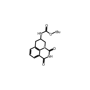 CC(C)(C)OC(=O)NC1Cc2cccc3c(=O)[nH]c(=O)n(c23)C1